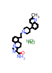 Cc1ccc2c(C3CCN(CCc4cccc5c4CCc4c(C(N)=O)ncn4-5)CC3)cccc2n1.Cl.Cl